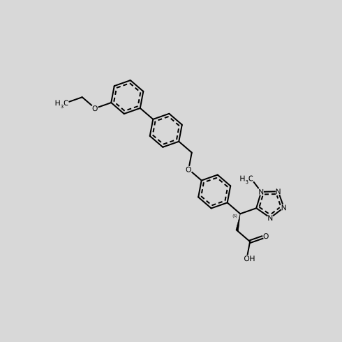 CCOc1cccc(-c2ccc(COc3ccc([C@H](CC(=O)O)c4nnnn4C)cc3)cc2)c1